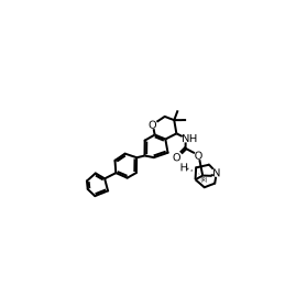 CC1(C)COc2cc(-c3ccc(-c4ccccc4)cc3)ccc2C1NC(=O)O[C@H]1CN2CCC1CC2